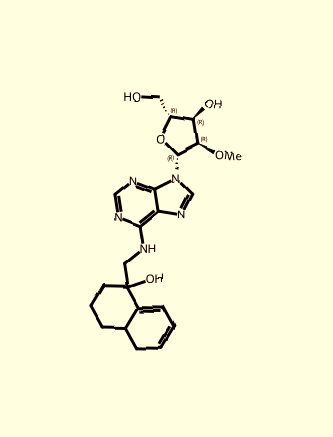 CO[C@@H]1[C@H](O)[C@@H](CO)O[C@H]1n1cnc2c(NCC3(O)CCCC4CC=CC=C43)ncnc21